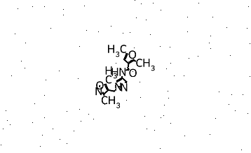 Cc1cc(C(=O)Nc2cnn(Cc3c(C)noc3C)c2)c(C)o1